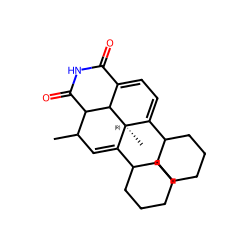 CC1C=C(C2CCCCC2)[C@]2(C)C(C3CCCCC3)=CC=C3C(=O)NC(=O)C1C32